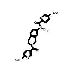 COc1ccc(C(=O)N(C)c2ccc3c(c2)CN(C(=O)c2ccc(OC)nc2)CC3)nc1